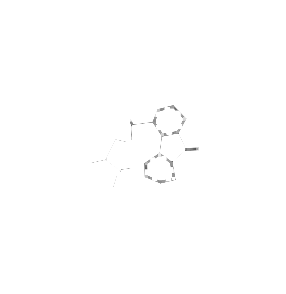 CCC(COC(=O)c1cccc2c1-c1ccccc1C2=O)N(C)C